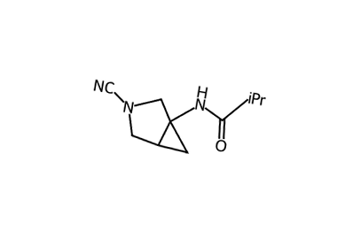 CC(C)C(=O)NC12CC1CN(C#N)C2